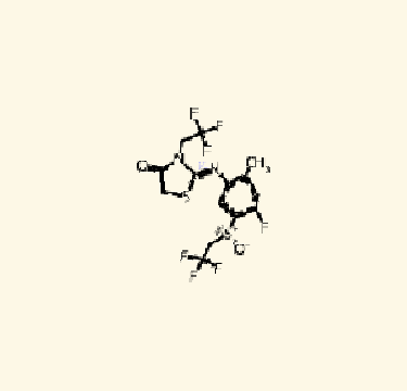 Cc1cc(F)c([S@+]([O-])CC(F)(F)F)cc1/N=C1\SCC(=O)N1CC(F)(F)F